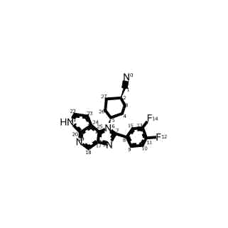 N#C[C@H]1CC[C@H](n2c(-c3ccc(F)c(F)c3)nc3cnc4[nH]ccc4c32)CC1